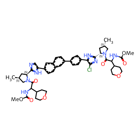 COC(=O)NC(C(=O)N1C[C@@H](C)C[C@H]1c1ncc(-c2ccc3cc(-c4ccc(-c5[nH]c([C@@H]6C[C@H](C)CN6C(=O)C(NC(=O)OC)C6CCOCC6)nc5Cl)cc4)ccc3c2)[nH]1)C1CCOCC1